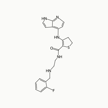 O=C(NCCNCc1ccccc1F)C1=C(Nc2ccnc3[nH]ccc23)CCS1